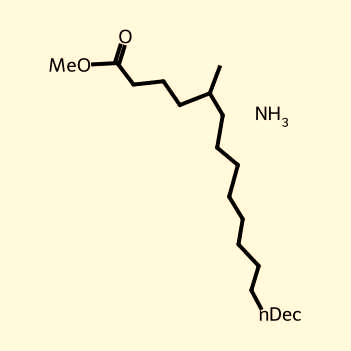 CCCCCCCCCCCCCCCCCCC(C)CCCC(=O)OC.N